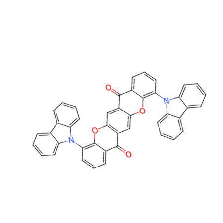 O=c1c2cc3oc4c(-n5c6ccccc6c6ccccc65)cccc4c(=O)c3cc2oc2c(-n3c4ccccc4c4ccccc43)cccc12